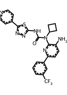 Nc1ccc(-c2cccc(C(F)(F)F)c2)nc1N(C(=O)Nc1nnc(-c2ccncc2)s1)C1CCC1